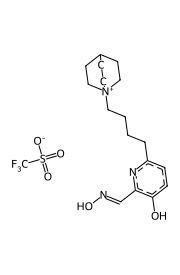 O=S(=O)([O-])C(F)(F)F.ON=Cc1nc(CCCC[N+]23CCC(CC2)CC3)ccc1O